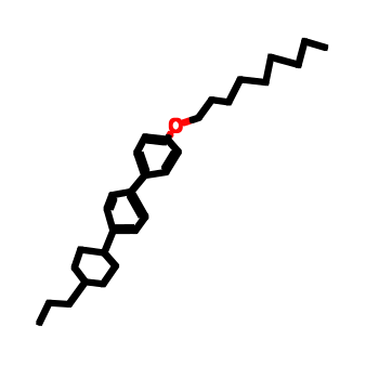 CCCCCCCCCOc1ccc(-c2ccc(C3CCC(CCC)CC3)cc2)cc1